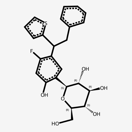 OC[C@H]1O[C@@H](c2cc(C(Cc3ccccc3)c3cccs3)c(F)cc2O)[C@H](O)[C@@H](O)[C@@H]1O